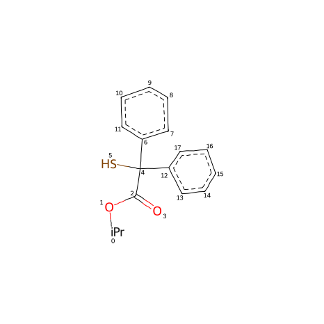 CC(C)OC(=O)C(S)(c1ccccc1)c1ccccc1